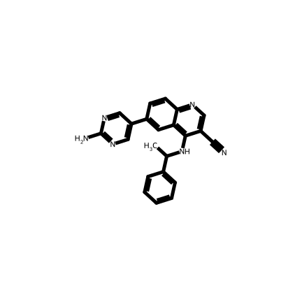 CC(Nc1c(C#N)cnc2ccc(-c3cnc(N)nc3)cc12)c1ccccc1